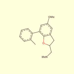 CNCC1Cc2cc(OC)cc(-c3ccccc3C)c2O1